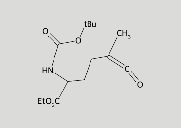 CCOC(=O)C(CCC(C)=C=O)NC(=O)OC(C)(C)C